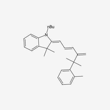 C=C(/C=C/C=C1/N(CCCC)c2ccccc2C1(C)C)C(C)(C)c1ccccc1C